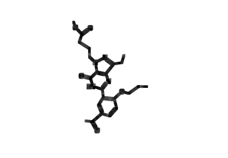 CCCOc1ccc(C(C)=O)cc1-c1nc2c(CC)nn(CCCC(=O)OC)c2c(=O)[nH]1